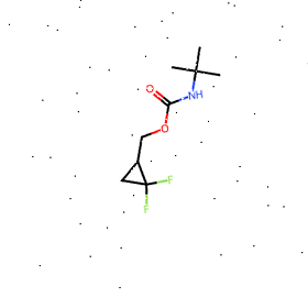 CC(C)(C)NC(=O)OCC1CC1(F)F